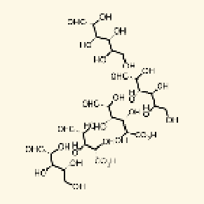 O=C[C@H](O)[C@@H](O)[C@@H](O)[C@H](O)CO.O=C[C@H](O)[C@@H](O)[C@H](O)[C@H](O)C(=O)O.O=C[C@H](O)[C@@H](O)[C@H](O)[C@H](O)CO.O=C[C@H](O)[C@H](O)[C@H](O)C(=O)O.O=C[C@H](O)[C@H](O)[C@H](O)CO